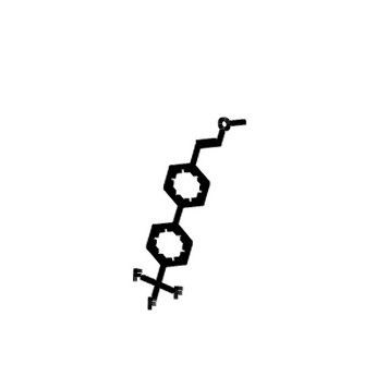 CO/C=C/c1ccc(-c2ccc(C(F)(F)F)cc2)cc1